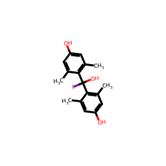 Cc1cc(O)cc(C)c1C(O)(I)c1c(C)cc(O)cc1C